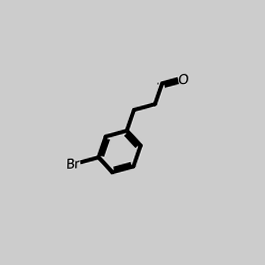 O=[C]CCc1cccc(Br)c1